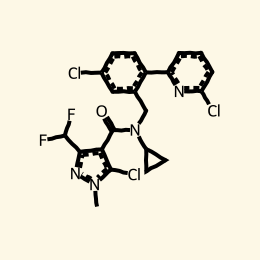 Cn1nc(C(F)F)c(C(=O)N(Cc2cc(Cl)ccc2-c2cccc(Cl)n2)C2CC2)c1Cl